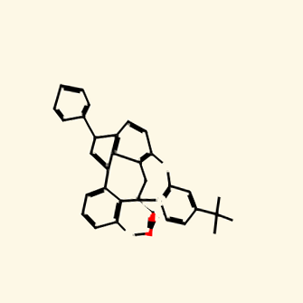 CC(C)(C)c1cc[n+]2c(c1)Oc1ccc3c4c1C[C@@]21c2c(cccc2C4=CC3c2ccccc2)Oc2cccc[n+]21